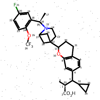 C[C@H](C(=O)O)C(c1ccc2c(c1)OC(C13CCN([C@H](C)c4cc(F)ccc4OC(F)(F)F)C(C1)C3)CC2)C1CC1